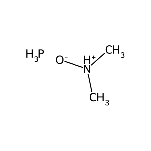 C[NH+](C)[O-].P